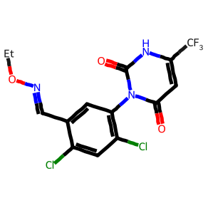 CCON=Cc1cc(-n2c(=O)cc(C(F)(F)F)[nH]c2=O)c(Cl)cc1Cl